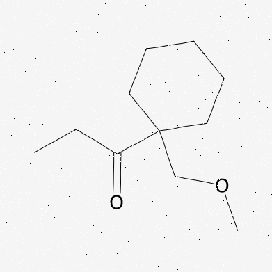 CCC(=O)C1(COC)CCCCC1